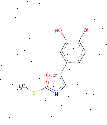 [CH2]Sc1ncc(-c2ccc(O)c(O)c2)o1